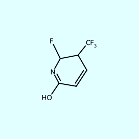 OC1=NC(F)C(C(F)(F)F)C=C1